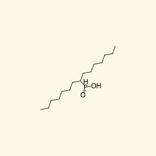 CCCCCCCC(CCCCCCC)[PH](=O)O